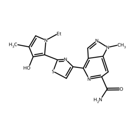 CCn1cc(C)c(O)c1-c1nc(-c2nc(C(N)=O)cc3c2cnn3C)cs1